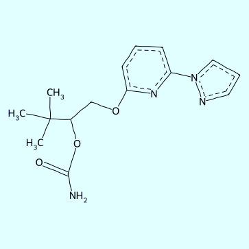 CC(C)(C)C(COc1cccc(-n2cccn2)n1)OC(N)=O